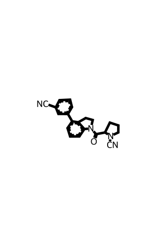 N#Cc1cccc(-c2cccc3c2CCN3C(=O)C2CCCN2C#N)c1